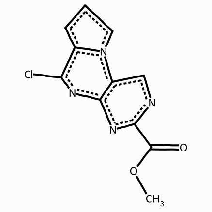 COC(=O)c1ncc2c(n1)nc(Cl)c1cccn12